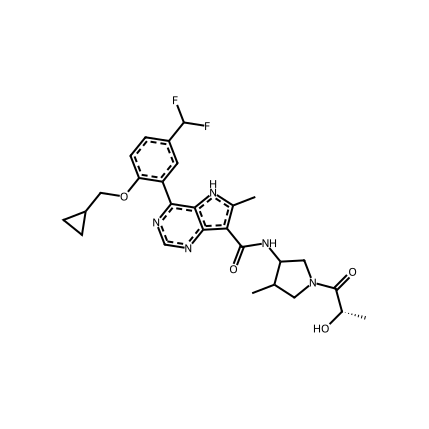 Cc1[nH]c2c(-c3cc(C(F)F)ccc3OCC3CC3)ncnc2c1C(=O)NC1CN(C(=O)[C@H](C)O)CC1C